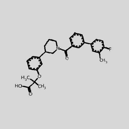 Cc1cc(-c2cccc(C(=O)N3CCCC(c4cccc(OC(C)(C)C(=O)O)c4)C3)c2)ccc1F